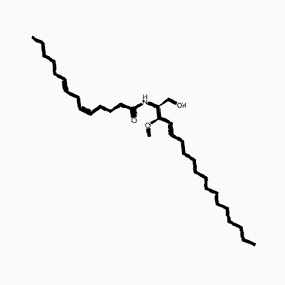 CCCCC/C=C/C/C=C\CCCC(=O)N[C@@H](CO)[C@@H](/C=C/CCCCCCCCCCCCC)OC